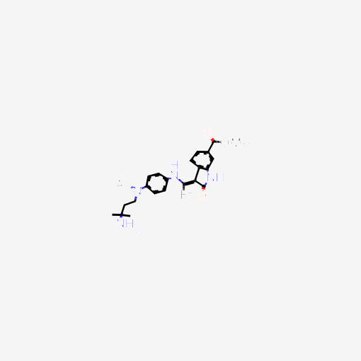 CCC(Nc1ccc(N(CCC(C)(C)N)C(C)=O)cc1)=C1C(=O)Nc2cc(C(=O)OC)ccc21